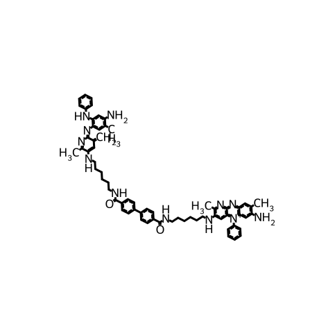 C=C1C=C(NCCCCCCNC(=O)c2ccc(-c3ccc(C(=O)NCCCCCCNc4cc5c(nc4C)nc4cc(C)c(N)cc4[n+]5-c4ccccc4)cc3)cc2)C(C)=N/C1=N/c1cc(C)c(N)cc1Nc1ccccc1